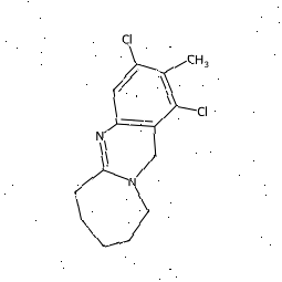 Cc1c(Cl)cc2c(c1Cl)CN1CCCCCC1=N2